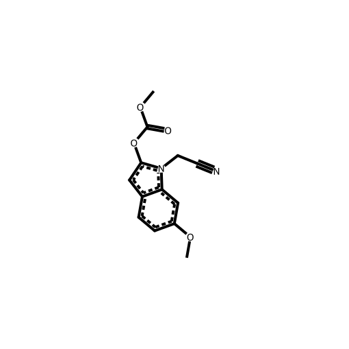 COC(=O)Oc1cc2ccc(OC)cc2n1CC#N